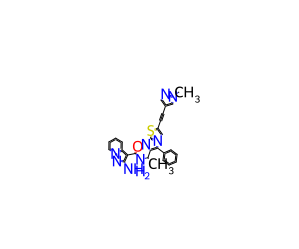 C[C@H](NC(=O)c1c(N)nn2ccccc12)c1nc2sc(C#Cc3cnn(C)c3)cn2c1-c1ccccc1